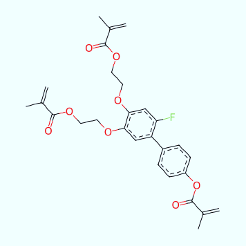 C=C(C)C(=O)OCCOc1cc(F)c(-c2ccc(OC(=O)C(=C)C)cc2)cc1OCCOC(=O)C(=C)C